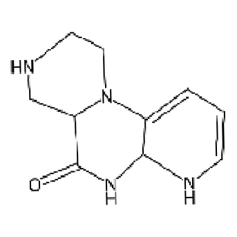 O=C1NC2NC=CC=C2N2CCNCC12